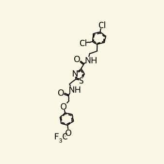 O=C(COc1ccc(OC(F)(F)F)cc1)NCc1nc(C(=O)NCCc2ccc(Cl)cc2Cl)cs1